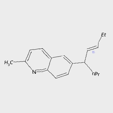 CC/C=C/C(CCC)c1ccc2nc(C)ccc2c1